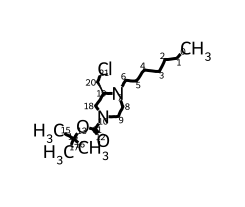 CCCCCCCN1CCN(C(=O)OC(C)(C)C)C[C@H]1CCl